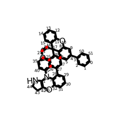 c1ccc(-c2ccc3c(c2)Oc2ccccc2C32c3ccccc3Oc3cc(-c4cccc5c4N(c4ccccc4)C4=C(CCN4)O5)ccc32)cc1